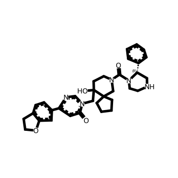 O=C(N1CCC(O)(Cn2cnc(-c3ccc4c(c3)OCC4)cc2=O)C2(CCCC2)C1)N1CCNC[C@H]1c1ccccc1